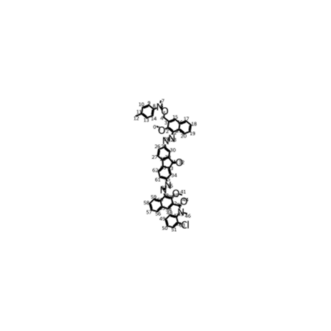 COc1c(CON(C)c2ccc(C)cc2)cc2ccccc2c1N=Nc1ccc2c(c1)C(=O)c1cc(N=Nc3c(OC)c(C(=O)N(C)c4ccccc4Cl)cc4ccccc34)ccc1-2